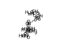 CC(C)(C)NC1CCC(N(C(=O)O)c2cc(C=CCCn3c(=O)oc4cc(CNC[C@H](O[Si](C)(C)C(C)(C)C)c5ccc(O)c6[nH]c(=O)ccc56)ccc43)ccc2-c2ccccc2)CC1